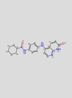 O=C(Nc1ccc(Nc2ccnc3[nH]c(=O)ccc23)cc1)C1CCCCC1